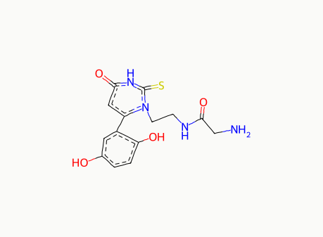 NCC(=O)NCCn1c(-c2cc(O)ccc2O)cc(=O)[nH]c1=S